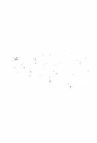 CCCN(C)C1CCCC(N(C)CCN2C(=O)c3cccc4c(-n5ccnc5)ccc(c34)C2=O)C1